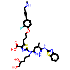 CNCC#Cc1ccc(OCCCc2sc(N(CCCC(O)CO)C(=N)/C=C(/C)C(=N)Nc3nc4ccccc4s3)nc2C(=O)O)c(F)c1